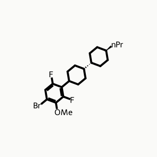 CCC[C@H]1CC[C@H](C2CCC(c3c(F)cc(Br)c(OC)c3F)CC2)CC1